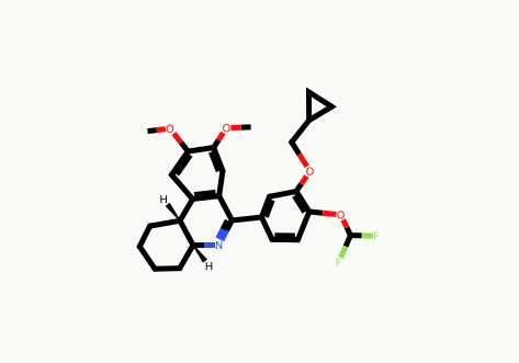 COc1cc2c(cc1OC)[C@H]1CCCC[C@H]1N=C2c1ccc(OC(F)F)c(OCC2CC2)c1